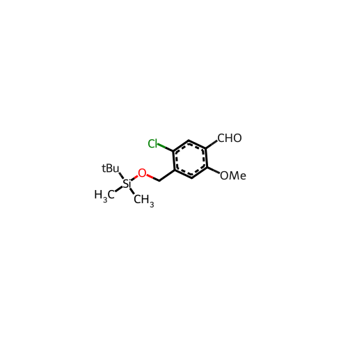 COc1cc(CO[Si](C)(C)C(C)(C)C)c(Cl)cc1C=O